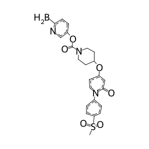 Bc1ccc(OC(=O)N2CCC(Oc3ccn(-c4ccc(S(C)(=O)=O)cc4)c(=O)c3)CC2)cn1